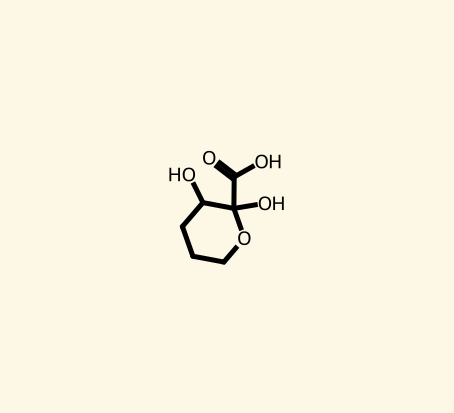 O=C(O)C1(O)OCCCC1O